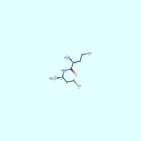 N[C@@H](CCS)C(=O)N[C@@H](CCS)C(=O)O